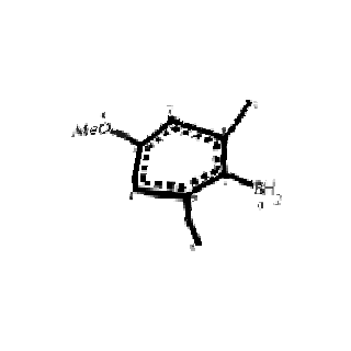 Bc1c(C)cc(OC)cc1C